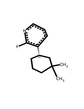 CC1(C)CCC[C@H](c2cccnc2F)C1